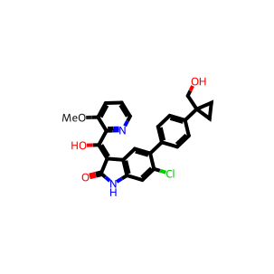 COc1cccnc1C(O)=C1C(=O)Nc2cc(Cl)c(-c3ccc(C4(CO)CC4)cc3)cc21